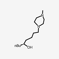 CCCC[C@H](O)CCCCN1CCN(C)CC1